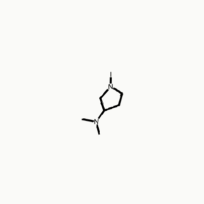 CN(C)C1CCN(I)C1